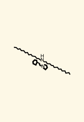 C(=C[n+]1ccccc1)c1ccccc1.CCCCCCCCCCCCCCCNCCCCCCCCCCCCCCC